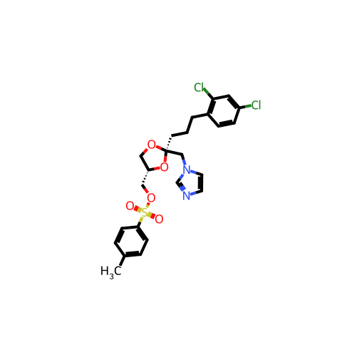 Cc1ccc(S(=O)(=O)OC[C@@H]2CO[C@@](CCCc3ccc(Cl)cc3Cl)(Cn3ccnc3)O2)cc1